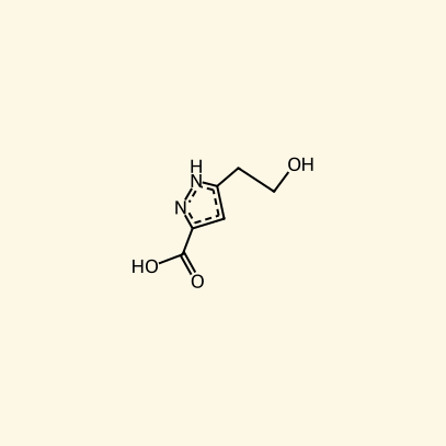 O=C(O)c1cc(CCO)[nH]n1